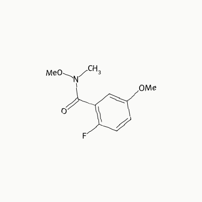 COc1ccc(F)c(C(=O)N(C)OC)c1